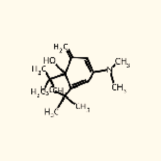 C=C1C=C(N(C)C)C=C(C(C)(C)C)C1(O)C(C)(C)C